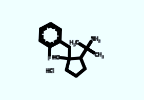 CC(C)(N)C1CCCC1(O)Cc1ccccc1F.Cl